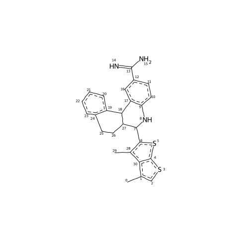 Cc1csc2sc(C3Nc4ccc(C(=N)N)cc4C4c5ccccc5CCC34)c(C)c12